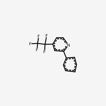 FC(F)(F)C(F)(F)c1ccnc(-c2ccccc2)c1